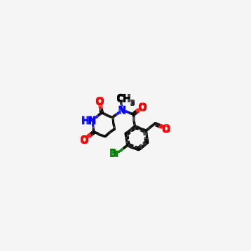 CN(C(=O)c1cc(Br)ccc1C=O)C1CCC(=O)NC1=O